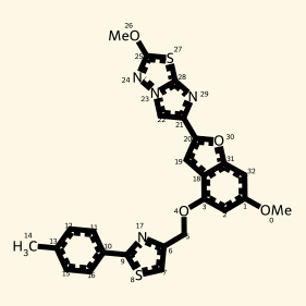 COc1cc(OCc2csc(-c3ccc(C)cc3)n2)c2cc(-c3cn4nc(OC)sc4n3)oc2c1